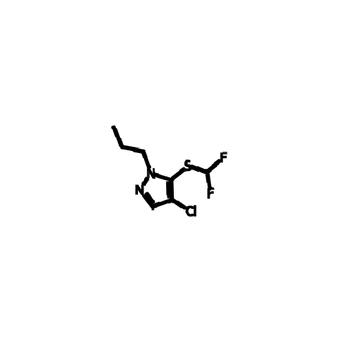 CCCn1n[c]c(Cl)c1SC(F)F